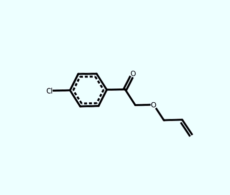 C=CCOCC(=O)c1ccc(Cl)cc1